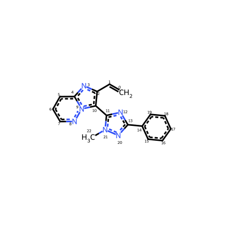 C=Cc1nc2cccnn2c1-c1nc(-c2ccccc2)nn1C